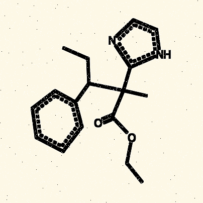 CCOC(=O)C(C)(c1ncc[nH]1)C(CC)c1ccccc1